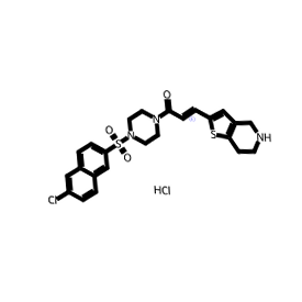 Cl.O=C(/C=C/c1cc2c(s1)CCNC2)N1CCN(S(=O)(=O)c2ccc3cc(Cl)ccc3c2)CC1